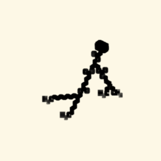 CCCCCCCCC(CCCCCC)COC(=O)CCCCC(=O)OCC(COC(=O)CC12CC3CC(CC(C3)C1)C2)COC(=O)OCCCN(CC)CC